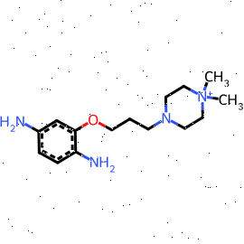 C[N+]1(C)CCN(CCCOc2cc(N)ccc2N)CC1